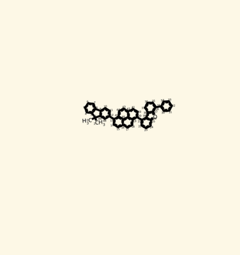 CC1(C)c2ccccc2-c2ccc(-c3ccc4ccc5c(-c6cccc7oc8c(-c9ccccc9)cccc8c67)ccc6ccc3c4c65)cc21